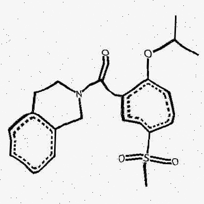 CC(C)Oc1ccc(S(C)(=O)=O)cc1C(=O)N1CCc2ccccc2C1